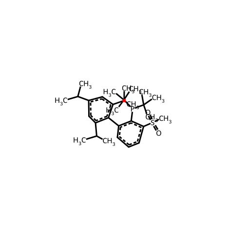 CC(C)c1cc(C(C)C)c(-c2cccc(S(C)(=O)=O)c2P(C(C)(C)C)C(C)(C)C)c(C(C)C)c1